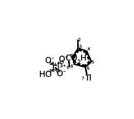 CC(=O)O.Cc1cc[c]([Tl])cc1.[O-][Cl+3]([O-])([O-])O